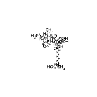 CCc1nc2c(cnn2CC)c(NC2CCOCC2)c1CNC(=O)c1ccc(NC(=O)CCCCCCCN(C)CCO)cc1.O=P(O)(O)O